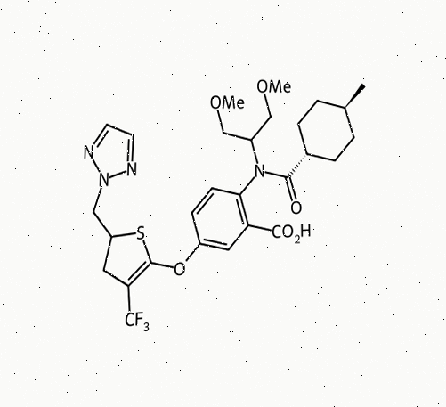 COCC(COC)N(c1ccc(OC2=C(C(F)(F)F)CC(Cn3nccn3)S2)cc1C(=O)O)C(=O)[C@H]1CC[C@H](C)CC1